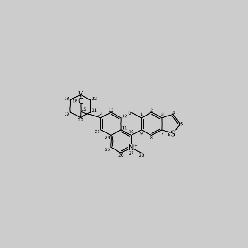 Cc1cc2ccsc2cc1-c1c2ccc(C3CC4CCC3CC4)cc2cc[n+]1C